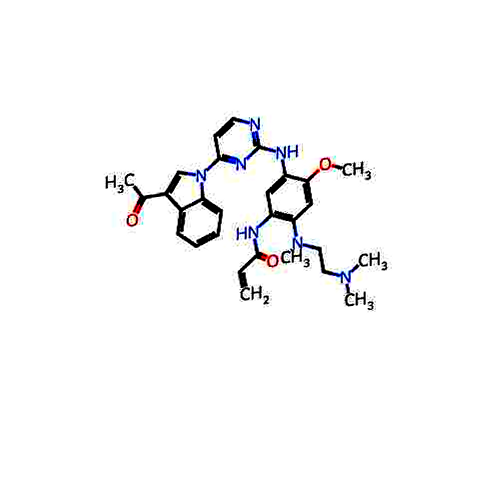 C=CC(=O)Nc1cc(Nc2nccc(-n3cc(C(C)=O)c4ccccc43)n2)c(OC)cc1N(C)CCN(C)C